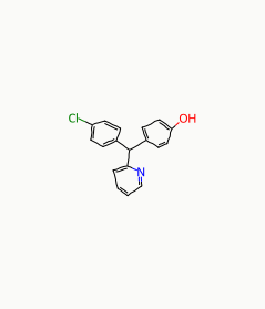 Oc1ccc(C(c2ccc(Cl)cc2)c2ccccn2)cc1